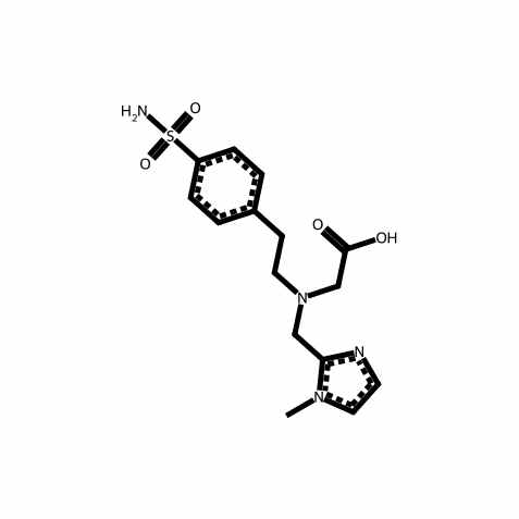 Cn1ccnc1CN(CCc1ccc(S(N)(=O)=O)cc1)CC(=O)O